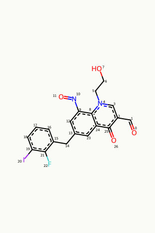 O=Cc1cn(CCO)c2c(N=O)cc(Cc3cccc(I)c3F)cc2c1=O